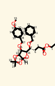 CCOC(=O)CC[C@@H](OCc1ccccc1)[C@H]1O[C@@H]2OC(C)(C)OC2C1OCc1ccc(OC)cc1